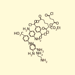 CCOC(=O)C(CCCC(=O)Cl)C(=O)Cl.NCCN.Nc1ccc(C(=O)O)cc1.Nc1ccc(N)cc1.Nc1ccccc1N.O=C(Cl)CCC(=O)Cl.O=C(Cl)c1ccc(C(=O)Cl)cc1